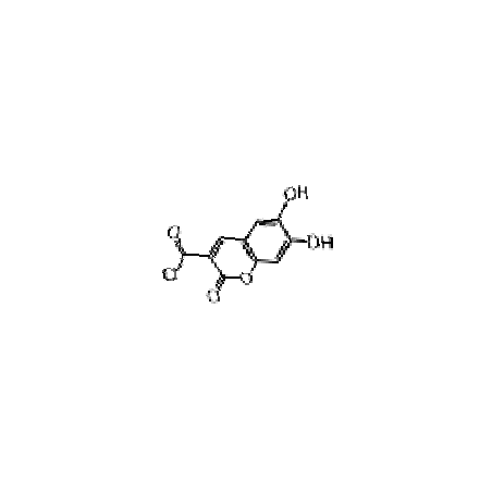 O=C(Cl)c1cc2cc(O)c(O)cc2oc1=O